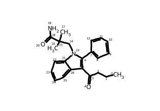 CCCC(=O)c1c(-c2ccccc2)n(CC(C)(C)C(N)=O)c2ccccc12